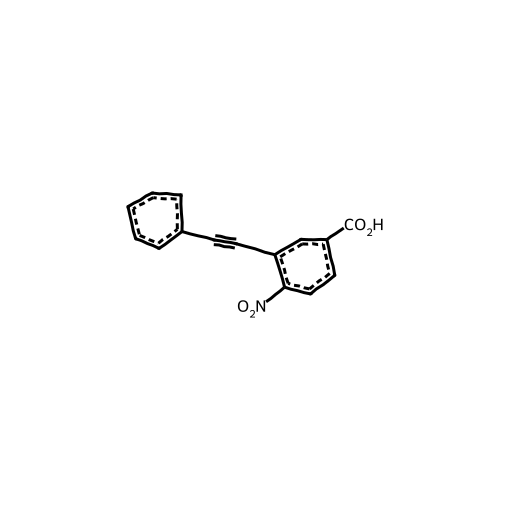 O=C(O)c1ccc([N+](=O)[O-])c(C#Cc2ccccc2)c1